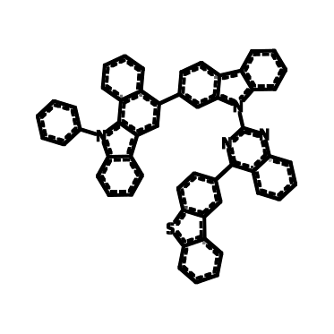 c1ccc(-n2c3ccccc3c3cc(-c4ccc5c6ccccc6n(-c6nc(-c7ccc8sc9ccccc9c8c7)c7ccccc7n6)c5c4)c4ccccc4c32)cc1